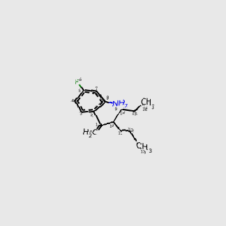 C=C(c1ccc(F)cc1N)C(CCC)CCC